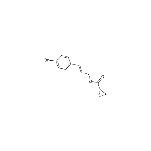 O=C(OC/C=C/c1ccc(Br)cc1)C1CC1